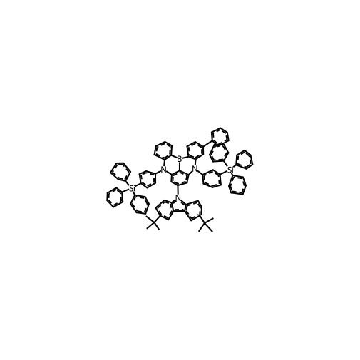 CC(C)(C)c1ccc2c(c1)c1cc(C(C)(C)C)ccc1n2-c1cc2c3c(c1)N(c1cccc([Si](c4ccccc4)(c4ccccc4)c4ccccc4)c1)c1cc(-c4ccccc4)ccc1B3c1ccccc1N2c1ccc([Si](c2ccccc2)(c2ccccc2)c2ccccc2)cc1